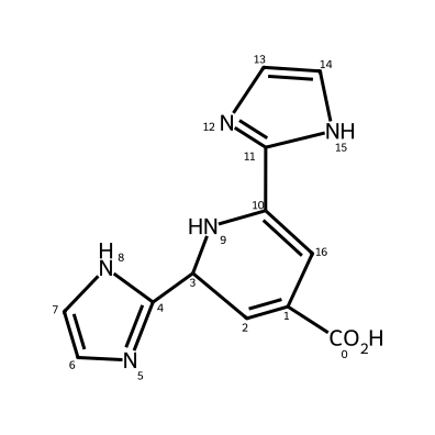 O=C(O)C1=CC(c2ncc[nH]2)NC(c2ncc[nH]2)=C1